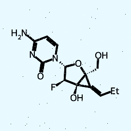 CC/C=C1\[C@]2(CO)O[C@@H](n3ccc(N)nc3=O)[C@H](F)[C@@]12O